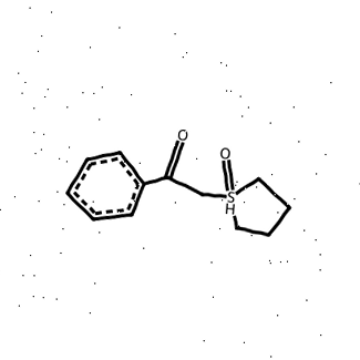 O=C(C[SH]1(=O)CCCC1)c1ccccc1